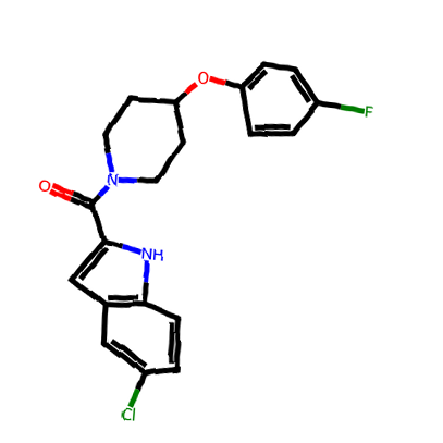 O=C(c1cc2cc(Cl)ccc2[nH]1)N1CCC(Oc2ccc(F)cc2)CC1